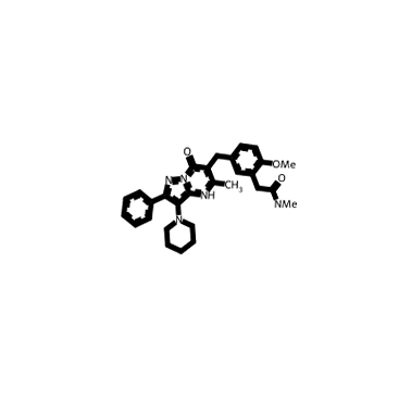 CNC(=O)Cc1cc(Cc2c(C)[nH]c3c(N4CCCCC4)c(-c4ccccc4)nn3c2=O)ccc1OC